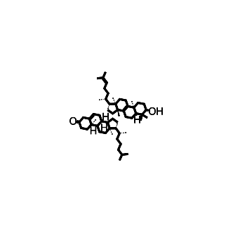 CC(C)=CCC[C@@H](C)[C@H]1CC[C@@]2(C)C3=C(CC[C@]12C)[C@@]1(C)CCC(O)C(C)(C)[C@@H]1CC3.CC(C)CCC[C@@H](C)[C@H]1CC[C@H]2[C@@H]3CC=C4CC(=O)CC[C@]4(C)[C@H]3CC[C@]12C